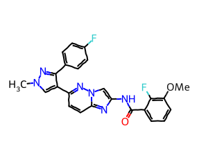 COc1cccc(C(=O)Nc2cn3nc(-c4cn(C)nc4-c4ccc(F)cc4)ccc3n2)c1F